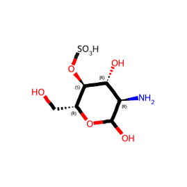 N[C@H]1C(O)O[C@H](CO)[C@@H](OS(=O)(=O)O)[C@@H]1O